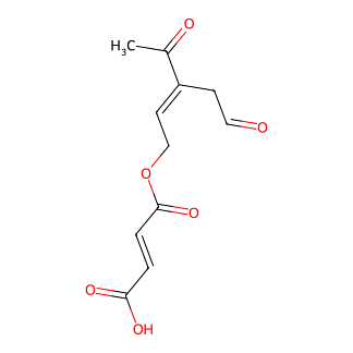 CC(=O)C(=CCOC(=O)C=CC(=O)O)CC=O